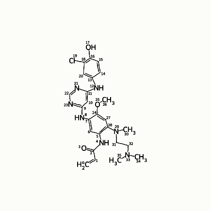 C=CC(=O)Nc1cc(Nc2cc(Nc3ccc(O)c(Cl)c3)ncn2)c(OC)cc1N(C)CCN(C)C